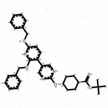 CC(C)(C)OC(=O)[C@H]1CC[C@H](Oc2ncc(-c3ccc(OCc4ccccc4)nc3OCc3ccccc3)cn2)CC1